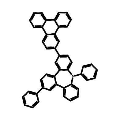 c1ccc(-c2ccc3c(c2)-c2ccccc2N(c2ccccc2)c2ccc(-c4ccc5c6ccccc6c6ccccc6c5c4)cc2-3)cc1